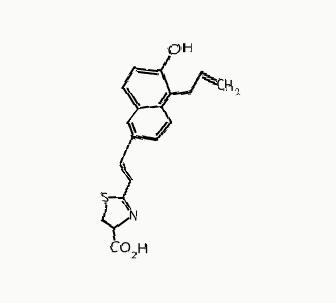 C=CCc1c(O)ccc2cc(/C=C/C3=NC(C(=O)O)CS3)ccc12